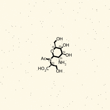 CC(=O)N(C1O[C@@H](CO)[C@@H](O)[C@@H](O)[C@@H]1N)[C@@H](CO)C(=O)O